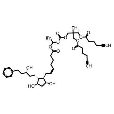 C#CCCCC(=O)OCC(C)(COC(=O)CCCC#C)COC(=O)OC(OC(=O)CCC/C=C\C[C@@H]1[C@@H](CC[C@@H](O)CCc2ccccc2)[C@H](O)C[C@@H]1O)C(C)C